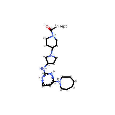 CCCCCCCC(=O)N1CCC(N2CCC(Nc3nccc(N4CCCCCC4)n3)C2)CC1